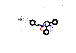 O=C(O)c1ccc(C=CC(=O)N2CCc3c([nH]c4ccccc34)C2c2ccccc2)cc1